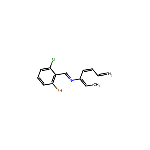 C=C\C=C/C(=C\C)/N=C/c1c(S)cccc1Cl